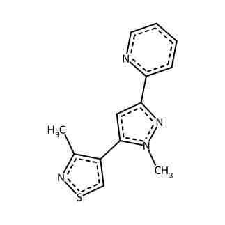 Cc1nscc1-c1cc(-c2ccccn2)nn1C